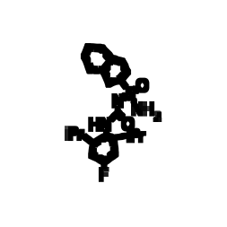 CC(C)c1cc(F)cc(C(C)C)c1NC(=O)N=S(N)(=O)c1ccc2ccccc2c1